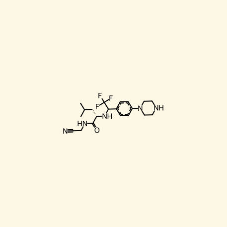 CC(C)C[C@H](NC(c1ccc(N2CCNCC2)cc1)C(F)(F)F)C(=O)NCC#N